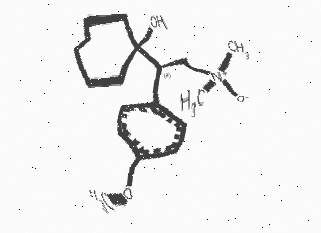 COc1ccc([C@H](C[N+](C)(C)[O-])C2(O)CCCCC2)cc1